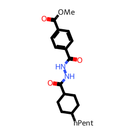 CCCCCC1CCC(C(=O)NNC(=O)c2ccc(C(=O)OC)cc2)CC1